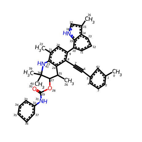 Cc1cccc(C#Cc2c(-c3cccc4c(C)c[nH]c34)cc(C)c3c2C(C)C(OC(=O)Nc2ccccc2)C(C)(C)N3)c1